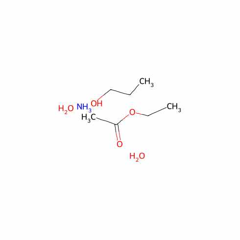 CCCO.CCOC(C)=O.N.O.O